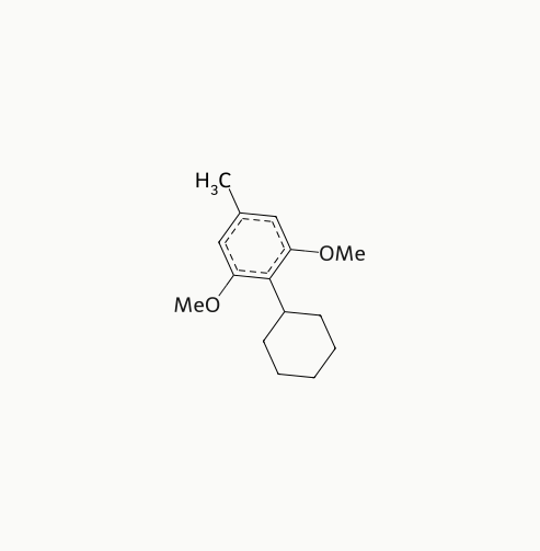 COc1cc(C)cc(OC)c1C1CCCCC1